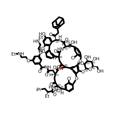 CCNCCOc1cc(OCCNCC)cc(C(=O)NC(=O)C[C@@H]2CC(=O)[C@H](NC(=O)[C@H](CC)CC(C)C)[C@H](O)c3ccc(c(Cl)c3)Oc3cc4cc(c3O[C@@H]3O[C@H](CO)[C@@H](O)[C@H](O)[C@H]3O)Oc3ccc(cc3Cl)[C@@H](O)[C@@H]3NC(=O)[C@H](CC(=O)[C@@H]4NC2=O)c2ccc(O)c(c2)-c2c(O)cc(O)cc2[C@@H](C(=O)CC2C4CC5CC(C4)CC2C5)NC3=O)c1